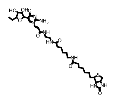 CCC1OC(c2cn(/C=C/C(=O)NCCNC(=O)CCCCCNC(=O)CCCCCCC3SCC4NC(=O)NC43)c(N)nc2=O)C(O)C1O